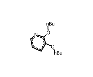 CCCCOc1cccnc1OCCCC